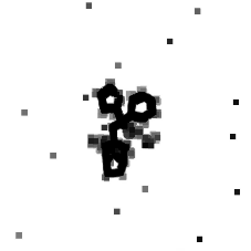 C[N+]1(C)C2CCC1CC(CC(O)(c1ccccc1)c1cccs1)C2.[Br-]